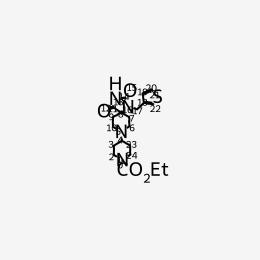 CCOC(=O)N1CCC(N2CCC3(CC2)C(=O)NC(=O)N3Cc2ccsc2)CC1